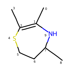 CC1=C(C)SCCC(C)N1